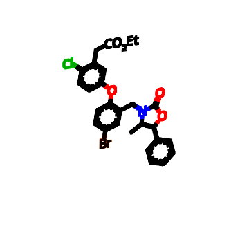 CCOC(=O)Cc1cc(Oc2ccc(Br)cc2CN2C(=O)OC(c3ccccc3)C2C)ccc1Cl